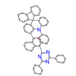 c1ccc(-c2nc(-c3ccccc3)nc(-c3ccc(-c4cccc5c4N(c4ccccc4)c4ccccc4C54c5ccccc5-c5ccccc54)c4ccccc34)n2)cc1